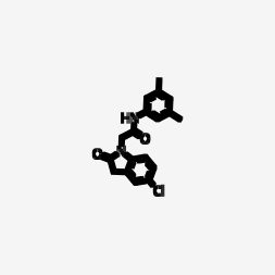 Cc1cc(C)cc(NC(=O)CN2C(=O)Cc3cc(Cl)ccc32)c1